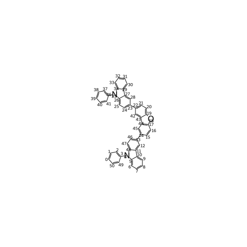 c1ccc(-n2c3ccccc3c3cc(-c4ccc5oc6ccc(-c7ccc8c(c7)c7ccccc7n8-c7ccccc7)cc6c5c4)ccc32)cc1